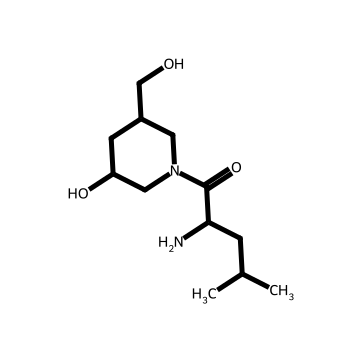 CC(C)CC(N)C(=O)N1CC(O)CC(CO)C1